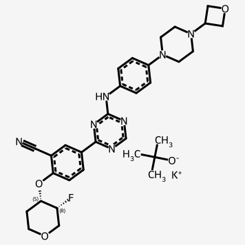 CC(C)(C)[O-].N#Cc1cc(-c2ncnc(Nc3ccc(N4CCN(C5COC5)CC4)cc3)n2)ccc1O[C@H]1CCOC[C@H]1F.[K+]